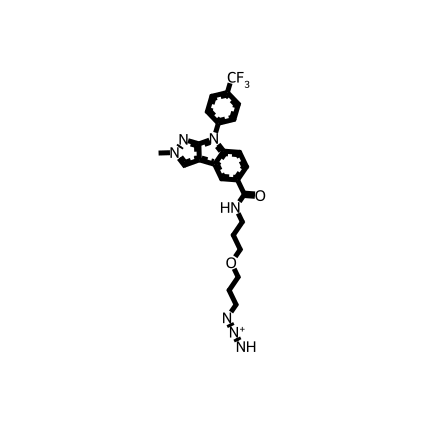 Cn1cc2c3cc(C(=O)NCCCOCCCN=[N+]=N)ccc3n(-c3ccc(C(F)(F)F)cc3)c2n1